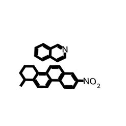 CC1CCCc2c1ccc1c2ccc2cc([N+](=O)[O-])ccc21.c1ccc2cnccc2c1